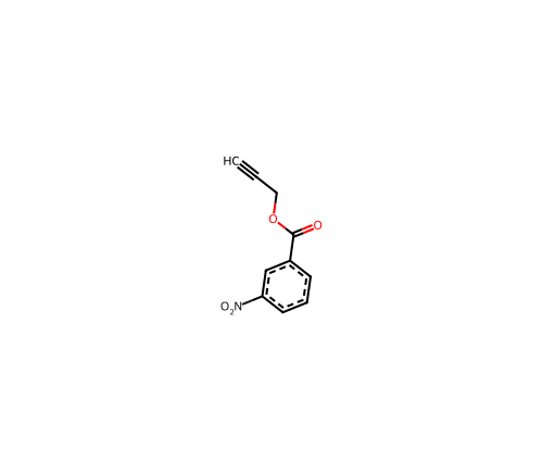 C#CCOC(=O)c1cccc([N+](=O)[O-])c1